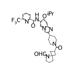 CC(C)Oc1cc2nc(C3CCN(C(=O)C4CC5(CCCN5C=O)C4)CC3)cn2cc1NC(=O)c1cccc(C(F)(F)F)n1